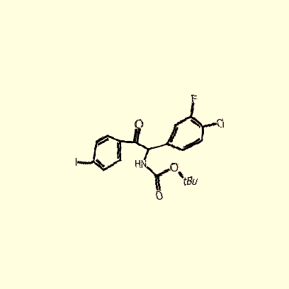 CC(C)(C)OC(=O)NC(C(=O)c1ccc(I)cc1)c1ccc(Cl)c(F)c1